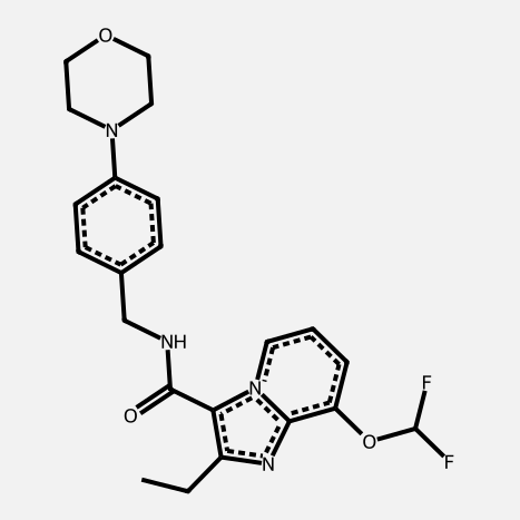 CCc1nc2c(OC(F)F)cccn2c1C(=O)NCc1ccc(N2CCOCC2)cc1